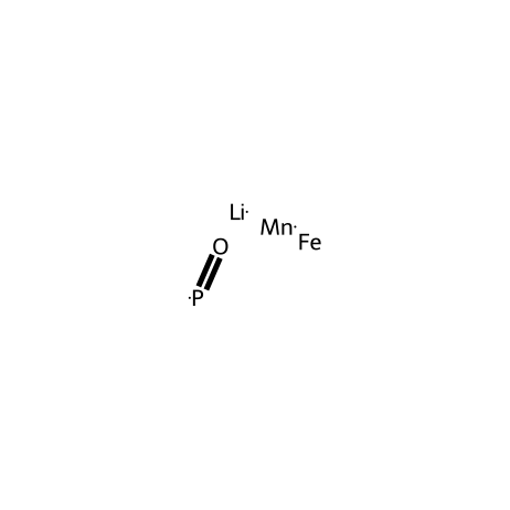 O=[P].[Fe].[Li].[Mn]